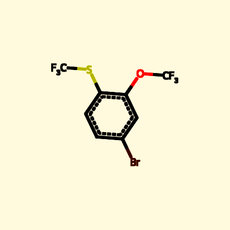 FC(F)(F)Oc1cc(Br)ccc1SC(F)(F)F